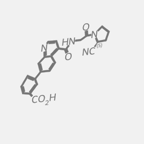 N#C[C@@H]1CCCN1C(=O)CNC(=O)c1ccnc2cc(-c3cccc(C(=O)O)c3)ccc12